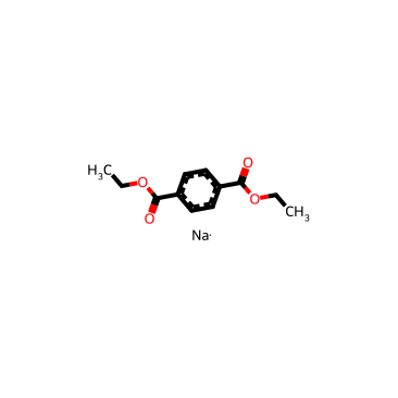 CCOC(=O)c1ccc(C(=O)OCC)cc1.[Na]